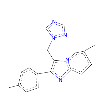 Cc1ccc(-c2nc3ccc(C)cn3c2Cn2cncn2)cc1